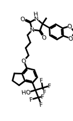 CC1(c2ccc3c(c2)OCO3)NC(=O)N(CCCCOc2ccc(C(O)(C(F)(F)F)C(F)(F)F)c3c2CCC3)C1=O